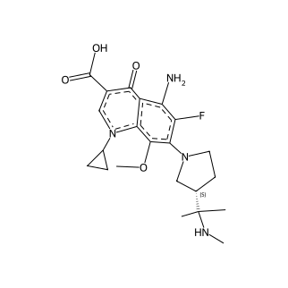 CNC(C)(C)[C@H]1CCN(c2c(F)c(N)c3c(=O)c(C(=O)O)cn(C4CC4)c3c2OC)C1